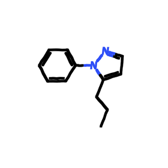 CCCc1ccnn1-c1ccccc1